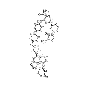 CN1CCN([C@@H]2CCCN(c3cnc(C(N)=O)c(Nc4ccc(C5CCN(CC6CCN(c7cc8onc(C9CCC(=O)NC9=O)c8c8ccccc78)C6)CC5)cc4)n3)C2)C1=O